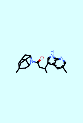 Cc1cnc2[nH]cc(C(C)CC(=O)N3C4CC5CC3CC(C)(C5)C4)c2c1